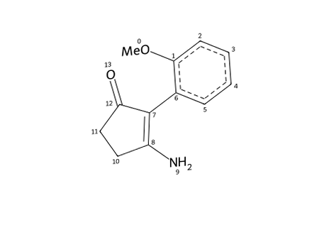 COc1ccccc1C1=C(N)CCC1=O